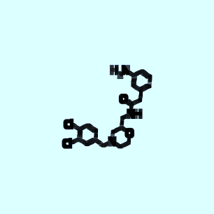 Nc1cccc(CC(=O)NCC2CN(Cc3ccc(Cl)c(Cl)c3)CCO2)c1